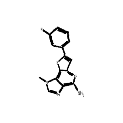 Cn1cnc2c(N)nc3cc(-c4cccc(F)c4)sc3c21